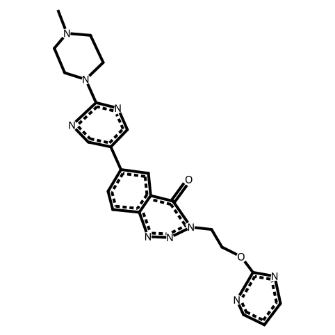 CN1CCN(c2ncc(-c3ccc4nnn(CCOc5ncccn5)c(=O)c4c3)cn2)CC1